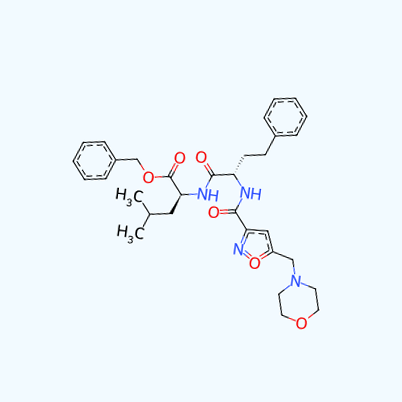 CC(C)C[C@H](NC(=O)[C@H](CCc1ccccc1)NC(=O)c1cc(CN2CCOCC2)on1)C(=O)OCc1ccccc1